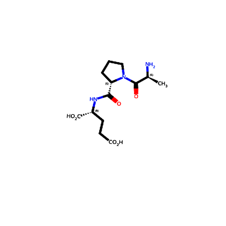 C[C@H](N)C(=O)N1CCC[C@H]1C(=O)N[C@H](CCC(=O)O)C(=O)O